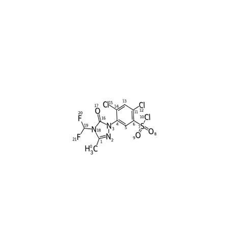 Cc1nn(-c2cc(S(=O)(=O)Cl)c(Cl)cc2Cl)c(=O)n1C(F)F